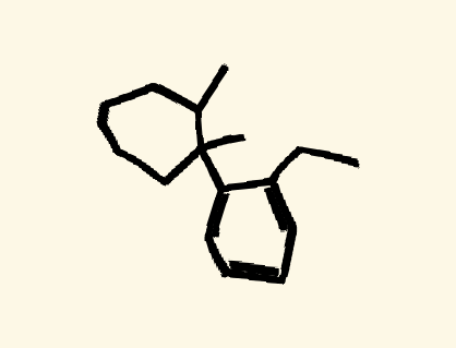 CCc1ccccc1C1(C)CCCCC1C